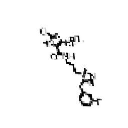 CCCCNc1nc(Cl)[nH]c1C(=O)NCCCn1nnnc1Cc1cccc(F)c1